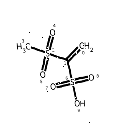 C=C(S(C)(=O)=O)S(=O)(=O)O